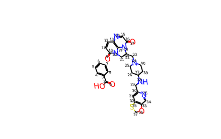 O=C(O)c1ccccc1.O=c1ccc2ncc(=O)n3c2n1C[C@@H]3CN1CCC(NCc2cc3c(cn2)OCS3)CC1